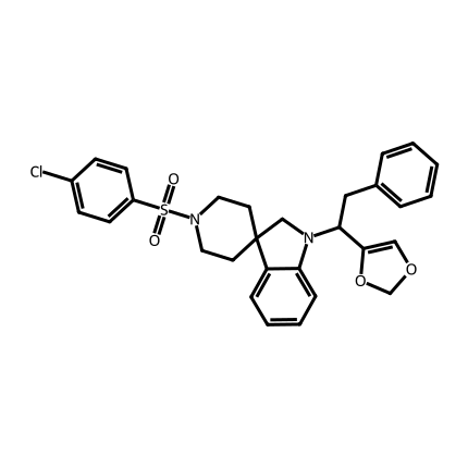 O=S(=O)(c1ccc(Cl)cc1)N1CCC2(CC1)CN(C(Cc1ccccc1)C1=COCO1)c1ccccc12